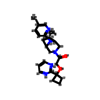 C[C@H]1CC2CN(C(=O)COC3(c4ncccn4)CCC3)CC1N2c1ccc(C#N)cn1